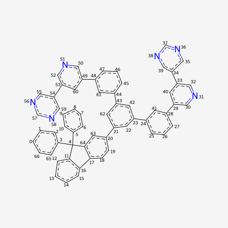 c1ccc(C2(c3ccccc3)c3ccccc3-c3ccc(-c4cc(-c5cccc(-c6cncc(-c7cncnc7)c6)c5)cc(-c5cccc(-c6cncc(-c7cncnc7)c6)c5)c4)cc32)cc1